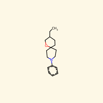 CCC1CCC2(CCN(c3ccccc3)CC2)OC1